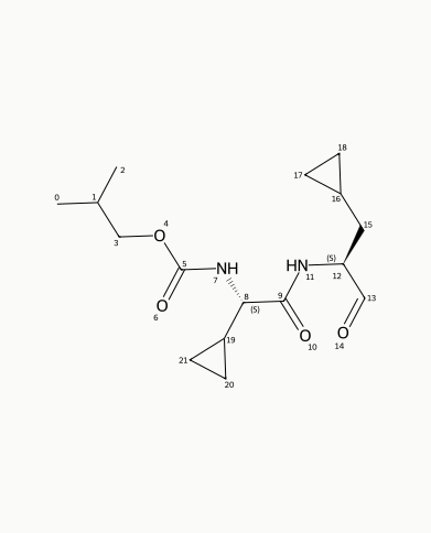 CC(C)COC(=O)N[C@H](C(=O)N[C@H](C=O)CC1CC1)C1CC1